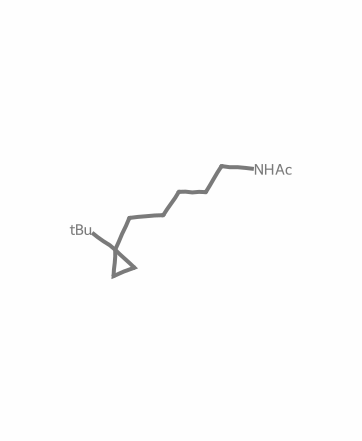 CC(=O)NCCCCCC1(C(C)(C)C)CC1